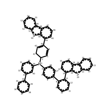 C1=CC(N(c2ccc(-c3ccccc3-c3cccc4c3sc3ccccc34)cc2)c2cccc(-c3ccccc3)c2)CC=C1c1cccc2c1sc1ccccc12